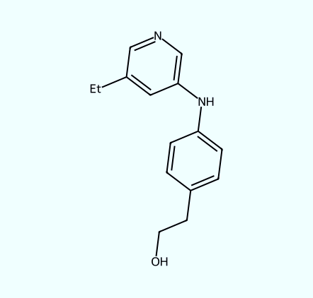 CCc1cncc(Nc2ccc(CCO)cc2)c1